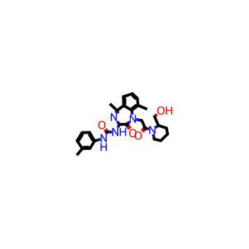 CC1=NC(NC(=O)Nc2cccc(C)c2)C(=O)N(CC(=O)N2CCCCC2CO)c2c(C)cccc21